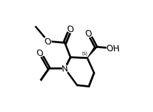 COC(=O)C1[C@@H](C(=O)O)CCCN1C(C)=O